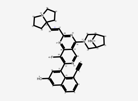 C#Cc1cccc2cc(O)cc(-c3ncc4c(N5CC6CCC(C5)N6)nc(/C=C/C56CCCN5CCC6)nc4c3F)c12